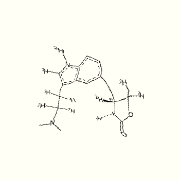 [2H]c1c(C([2H])([2H])C([2H])([2H])N(C)C)c2cc(C[C@@]3([2H])N([2H])C(=O)OC3([2H])[2H])ccc2n1[2H]